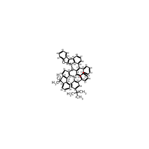 CC(C)(C)c1ccc(N2c3cc4ccccc4c4c3B(c3ccc5c(c32)-c2ccccc2C5(C)C)n2c3oc5ccccc5c3c3cccc-4c32)c(-c2ccccc2)c1